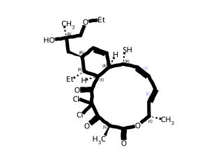 CCOC[C@](C)(O)C[C@H]1C=C[C@@H]2[C@@H](C(=O)C(Cl)(Cl)C(=O)[C@H](C)C(=O)O[C@@H](C)/C=C/C=C\[C@H]2S)[C@@H]1CC